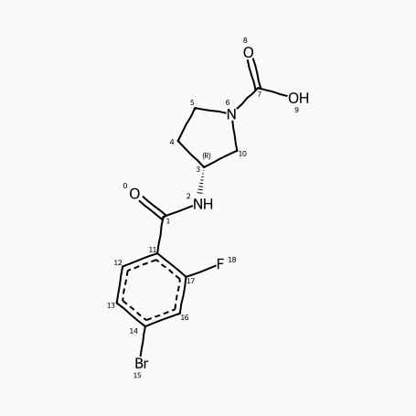 O=C(N[C@@H]1CCN(C(=O)O)C1)c1ccc(Br)cc1F